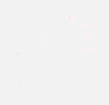 [2H]c1cc(Oc2ccc(C(=O)O)c(C(=O)O)c2)ccc1CCC